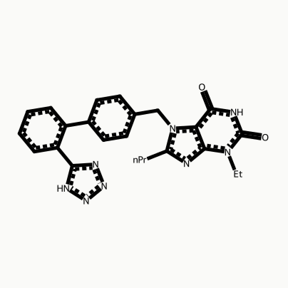 CCCc1nc2c(c(=O)[nH]c(=O)n2CC)n1Cc1ccc(-c2ccccc2-c2nnn[nH]2)cc1